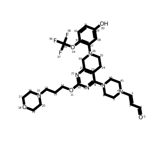 O=CC=CN1CCN(c2nc(OCCCN3CCOCC3)nc3c2CCN(c2cc(O)ccc2OC(F)(F)F)C3)CC1